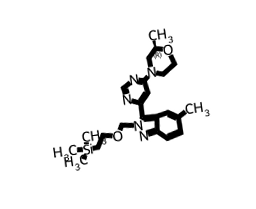 Cc1ccc2nn(COCC[Si](C)(C)C)c(-c3cc(N4CCO[C@H](C)C4)ncn3)c2c1